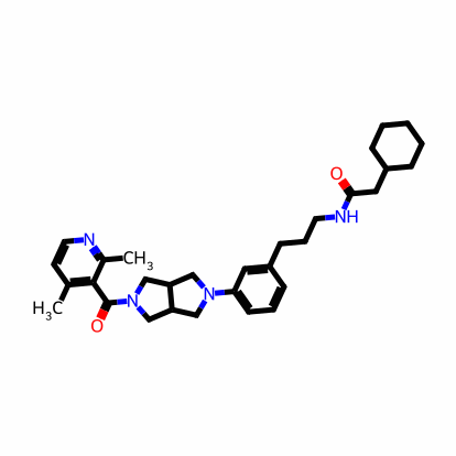 Cc1ccnc(C)c1C(=O)N1CC2CN(c3cccc(CCCNC(=O)CC4CCCCC4)c3)CC2C1